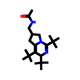 CC(=O)NCC1CC2=C(C(C)(C)C)C(C(C)(C)C)N=C(C(C)(C)C)N2C1